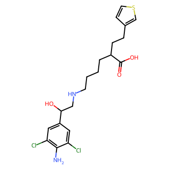 Nc1c(Cl)cc(C(O)CNCCCCC(CCc2ccsc2)C(=O)O)cc1Cl